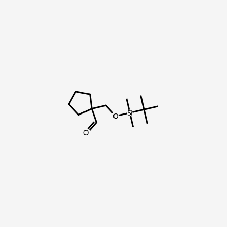 CC(C)(C)[Si](C)(C)OCC1(C=O)CCCC1